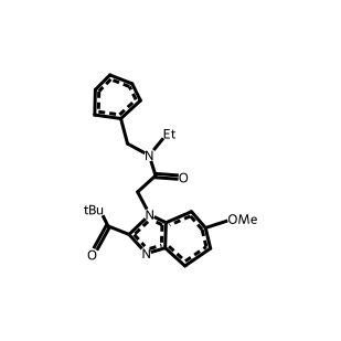 CCN(Cc1ccccc1)C(=O)Cn1c(C(=O)C(C)(C)C)nc2ccc(OC)cc21